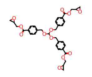 O=C(OCC1CO1)c1ccc(COC(OCc2ccc(C(=O)OCC3CO3)cc2)OCc2ccc(C(=O)OCC3CO3)cc2)cc1